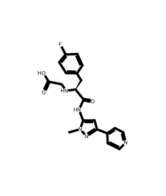 Cn1nc(-c2ccncc2)cc1NC(=O)[C@H](Cc1ccc(F)cc1)NCC(=O)O